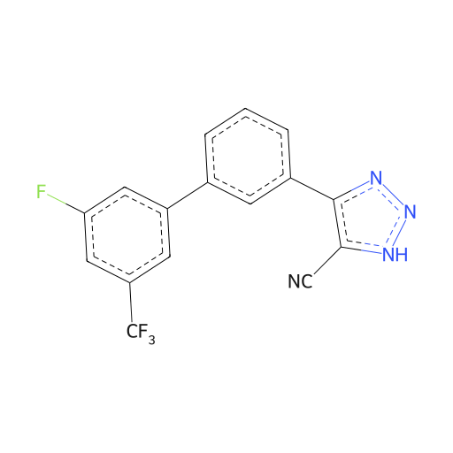 N#Cc1[nH]nnc1-c1cccc(-c2cc(F)cc(C(F)(F)F)c2)c1